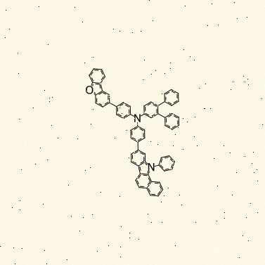 c1ccc(-c2ccc(N(c3ccc(-c4ccc5oc6ccccc6c5c4)cc3)c3ccc(-c4ccc5c6ccc7ccccc7c6n(-c6ccccc6)c5c4)cc3)cc2-c2ccccc2)cc1